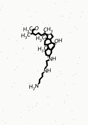 CC(=O)C(C)CCC[C@@H](C)[C@H]1CCC2C3C(CC[C@@]21C)[C@@]1(C)CC[C@H](NCCCNCCCCN)CC1=C[C@H]3O